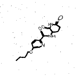 CCCCOc1ccc(C(=O)NC2CCC(=O)NC2=O)nc1